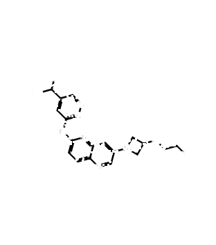 CC(C)c1cnnc(Nc2ccc3ncc(N4CC(OCCF)C4)cc3n2)c1